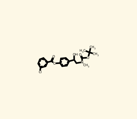 CN(CC(O)c1ccc(OC(=O)c2cccc(Cl)c2)cc1)C(=O)OC(C)(C)C